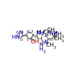 CN(/C(N)=C/C=C(\N)c1ccc(-c2c[nH]cn2)cc1O)C1CC(C)(C)NC(C)(C)C1